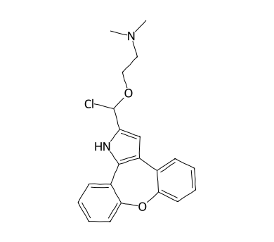 CN(C)CCOC(Cl)c1cc2c([nH]1)-c1ccccc1Oc1ccccc1-2